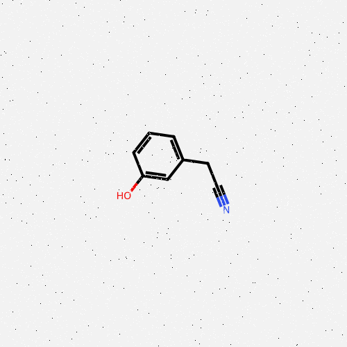 N#CCc1[c]c(O)ccc1